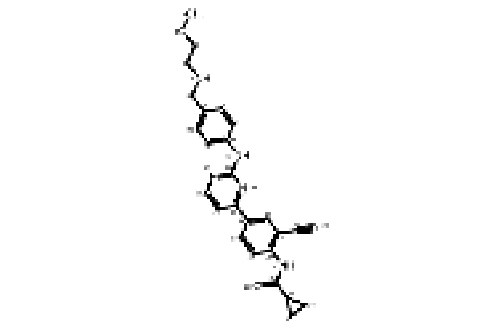 COCCNCc1ccc(Nc2nccc(-c3ccc(NC(=O)C4CC4)c(C#N)c3)n2)cc1